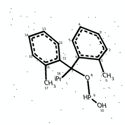 Cc1ccccc1C(OPO)(c1ccccc1C)C(C)C